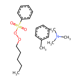 CCCCCOOS(=O)(=O)c1ccccc1.CN(C)C.Cc1ccccc1